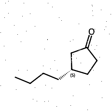 CCCC[C@H]1CCC(=O)C1